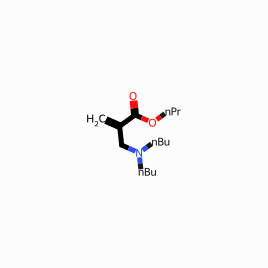 C=C(CN(CCCC)CCCC)C(=O)OCCC